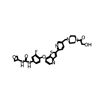 O=C(Nc1ccc(Oc2ccnc3cc(-c4ccc(CN5CCN(C(=O)CO)CC5)cn4)sc23)c(F)c1)NC1COC1